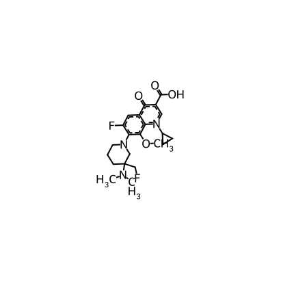 COc1c(N2CCCC(CF)(N(C)C)C2)c(F)cc2c(=O)c(C(=O)O)cn(C3CC3)c12